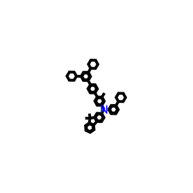 Cc1cc(N(c2cccc(C3CCCCC3)c2)c2ccc3c(c2)C(C)(C)c2ccccc2-3)ccc1-c1ccc(-c2cc(C3CCCCC3)cc(C3CCCCC3)c2)cc1